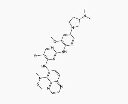 COc1cc(N2CCC(N(C)C)C2)ccc1Nc1ncc(Br)c(Nc2ccc3nccnc3c2N(C)SC)n1